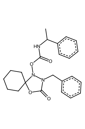 CC(NC(=O)ON1N(Cc2ccccc2)C(=O)OC12CCCCC2)c1ccccc1